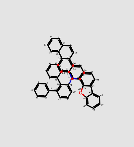 c1ccc(-c2ccccc2-c2c(-c3ccccc3)cccc2N(c2ccc3c(ccc4ccccc43)c2)c2cccc3c2oc2ccccc23)cc1